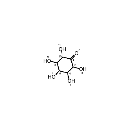 O=C1C(O)[C@@H](O)[C@@H](O)C(O)[C@@H]1O